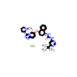 CN1CCC[C@H]1c1nnc2ccc(O[C@@H]3CC[C@H](NC(=O)Nc4cc(C(C)(C)C)ncn4)c4ccccc43)cn12.Cl